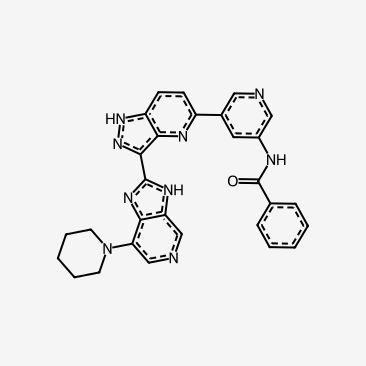 O=C(Nc1cncc(-c2ccc3[nH]nc(-c4nc5c(N6CCCCC6)cncc5[nH]4)c3n2)c1)c1ccccc1